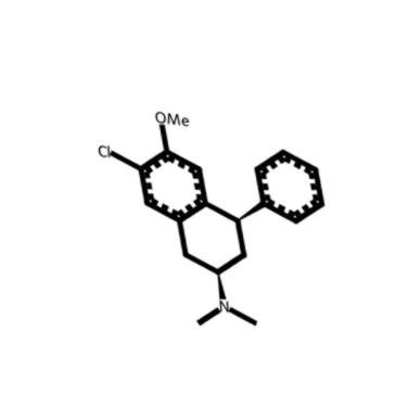 COc1cc2c(cc1Cl)C[C@H](N(C)C)C[C@@H]2c1ccccc1